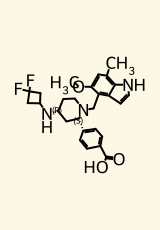 COc1cc(C)c2[nH]ccc2c1CN1CC[C@@H](NC2CC(F)(F)C2)C[C@H]1c1ccc(C(=O)O)cc1